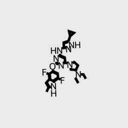 CCN(CC)C1CCN(c2cc(Nc3cc(C4CC4)[nH]n3)nc(Oc3cc(F)c4[nH]c(C)cc4c3F)n2)C1